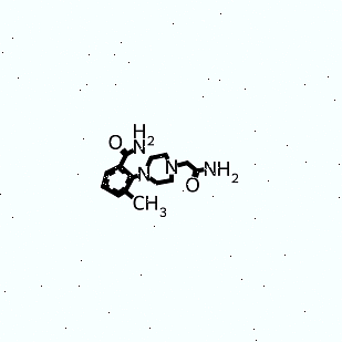 Cc1cccc(C(N)=O)c1N1CCN(CC(N)=O)CC1